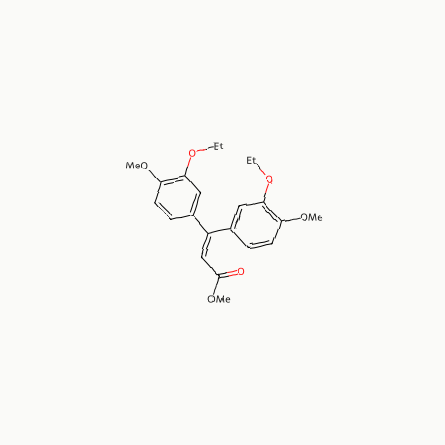 CCOc1cc(C(=CC(=O)OC)c2ccc(OC)c(OCC)c2)ccc1OC